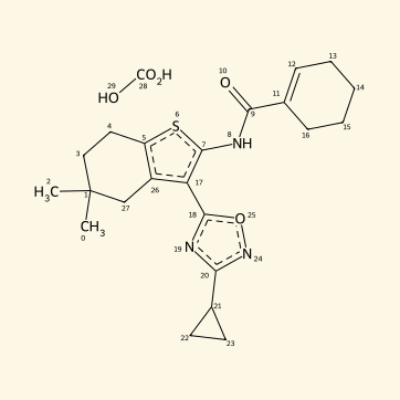 CC1(C)CCc2sc(NC(=O)C3=CCCCC3)c(-c3nc(C4CC4)no3)c2C1.O=C(O)O